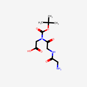 CC(C)(C)OC(=O)N(CC(=O)O)C(=O)CNC(=O)CN